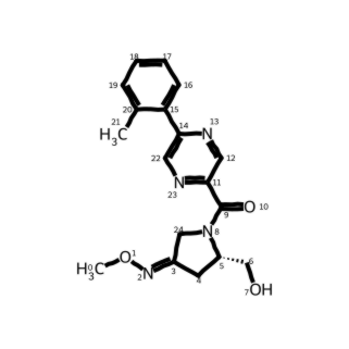 CO/N=C1/C[C@@H](CO)N(C(=O)c2cnc(-c3ccccc3C)cn2)C1